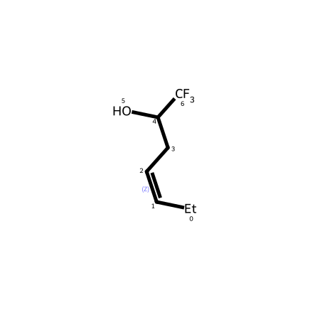 CC/C=C\CC(O)C(F)(F)F